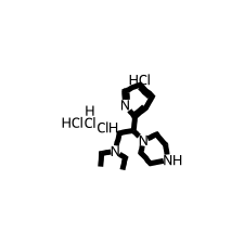 CCN(CC)CC(c1ccccn1)N1CCNCC1.Cl.Cl.Cl.Cl